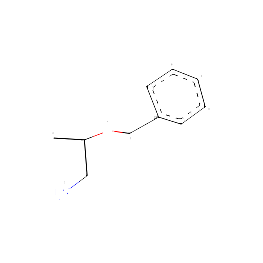 CC(CN)OCc1ccccc1